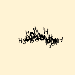 O=C(NC1CCCN(C(=O)C2CC(O)CN2)C1)c1ccc(Nc2nccn3c(-c4c[nH]nc4C(F)(F)F)cnc23)cc1Cl